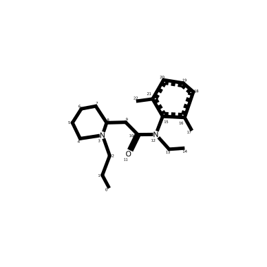 CCCN1CCCCC1CC(=O)N(CC)c1c(C)cccc1C